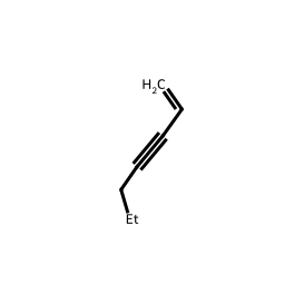 C=CC#CCCC